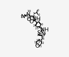 CC(C)C[C@H](NC(=O)c1ccc(Nc2nc(CN3CCOCC3)cs2)cc1)C(=O)N(C)C#N